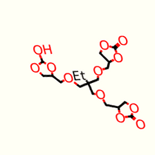 CCC(COCC1COC(=O)O1)(COCC1COC(=O)O1)COCC1COC(O)O1